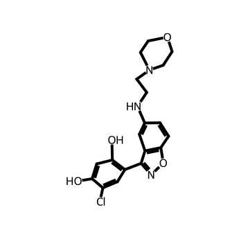 Oc1cc(O)c(-c2noc3ccc(NCCN4CCOCC4)cc23)cc1Cl